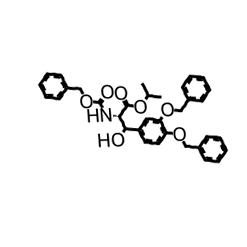 CC(C)OC(=O)[C@@H](NC(=O)OCc1ccccc1)C(O)c1ccc(OCc2ccccc2)c(OCc2ccccc2)c1